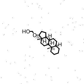 C[C@]12CCCC[C@@H]1CC[C@@H]1[C@@H]2CC[C@]2(C)[C@@H](OCO)CC[C@@H]12